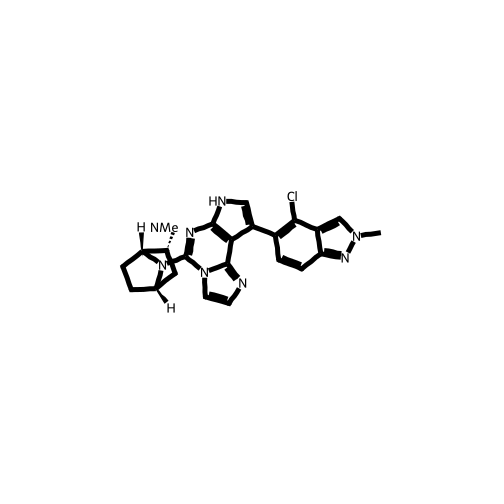 CN[C@@H]1C[C@@H]2CC[C@H]1N2c1nc2[nH]cc(-c3ccc4nn(C)cc4c3Cl)c2c2nccn12